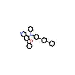 c1ccc(-c2ccc(-c3ccc(N(c4ccccc4)c4c5ccncc5cc5c4oc4ccccc45)cc3)cc2)cc1